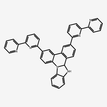 c1ccc(-c2cccc(-c3ccc4c(c3)-c3cc(-c5cccc(-c6ccccn6)n5)ccc3N3c5ccccc5NC43)n2)nc1